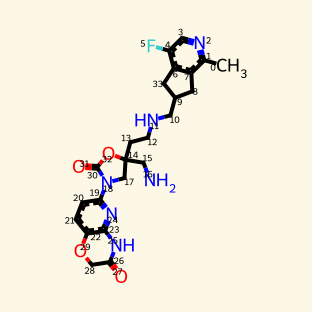 Cc1ncc(F)c2c1CC(CNCCC1(CN)CN(c3ccc4c(n3)NC(=O)CO4)C(=O)O1)C2